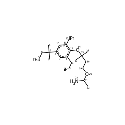 CC(C)Cc1cc(C(C)(C)CC(C)(C)C)cc(C(C)C)c1OC(C)(C)CCOC(C)N